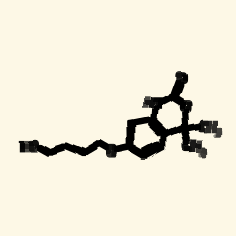 CC1(C)OC(=O)Nc2cc(OCCCCO)ccc21